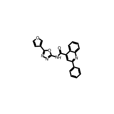 O=C(Nc1nnc(-c2ccoc2)o1)c1cc(-c2ccccc2)nc2ccccc12